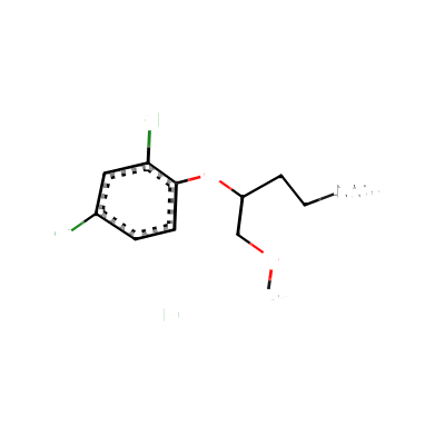 CNCCC(COC(C)C)Oc1ccc(Cl)cc1Cl.Cl